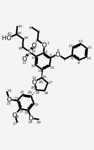 CCCOc1c(OCc2ccccc2)cc([C@H]2CC[C@H](c3cc(OC)c(OC)c(OC)c3)O2)cc1S(=O)(=O)CCC(C)O